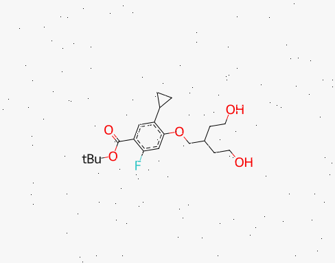 CC(C)(C)OC(=O)c1cc(C2CC2)c(OCC(CCO)CCO)cc1F